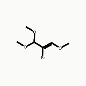 COC=C(Br)C(OC)OC